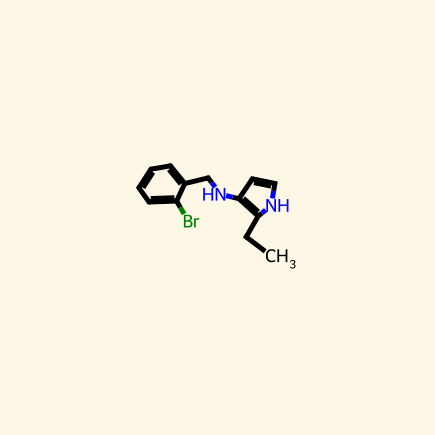 CCc1[nH]ccc1NCc1ccccc1Br